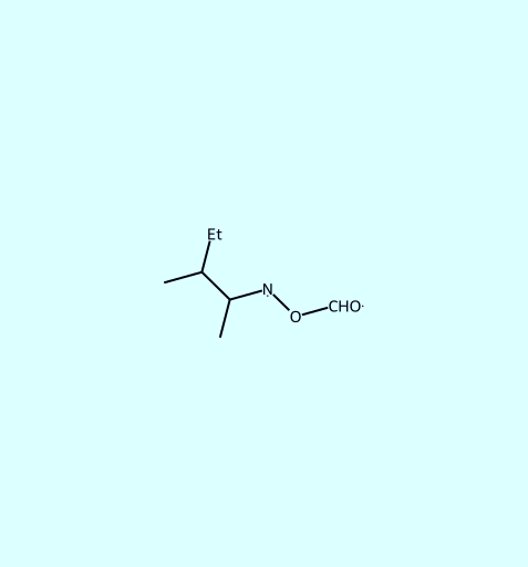 CCC(C)C(C)[N]O[C]=O